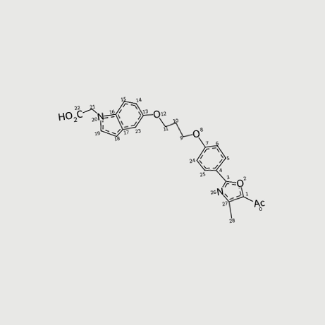 CC(=O)c1oc(-c2ccc(OCCCOc3ccc4c(ccn4CC(=O)O)c3)cc2)nc1C